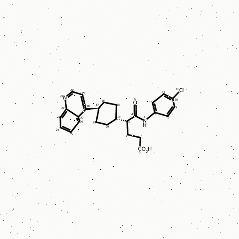 O=C(O)CCC(C(=O)Nc1ccc(Cl)cc1)[C@H]1CC[C@H](c2ccnc3ccccc32)CC1